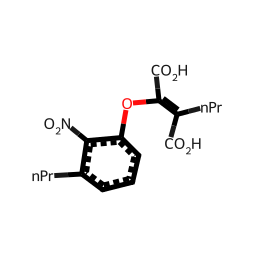 CCCC(C(=O)O)=C(Oc1cccc(CCC)c1[N+](=O)[O-])C(=O)O